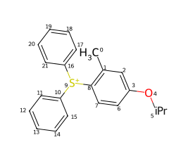 Cc1cc(OC(C)C)ccc1[S+](c1ccccc1)c1ccccc1